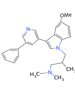 COc1ccc2c(c1)c(-c1cncc(-c3ccccc3)c1)cn2CC(C)CN(C)C